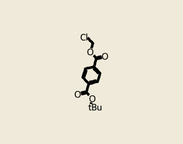 CC(C)(C)OC(=O)c1ccc(C(=O)OCCl)cc1